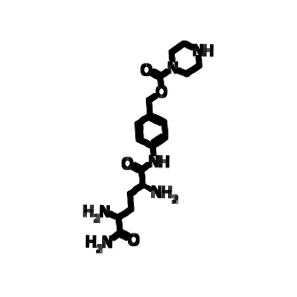 NC(=O)C(N)CC[C@H](N)C(=O)Nc1ccc(COC(=O)N2CCNCC2)cc1